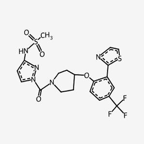 CS(=O)(=O)Nc1ccn(C(=O)N2CCC(Oc3ccc(C(F)(F)F)cc3-c3nccs3)CC2)n1